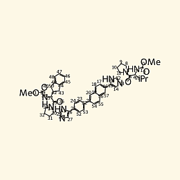 COC(=O)N[C@H](C(=O)N1CCC[C@H]1c1ncc(-c2ccc3cc(-c4ccc(-c5cnc([C@@H]6CCCN6C(=O)[C@@H](NC(=O)OC)C6Cc7ccccc7C6)[nH]5)cc4)ccc3c2)[nH]1)C(C)C